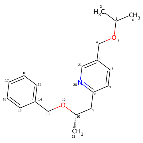 CC(C)OCc1ccc(C[C@H](C)OCc2ccccc2)nc1